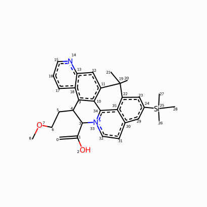 C=C(O)C1C(CCOC)c2c3c(cc4ncccc24)C(C)(C)c2cc([Si](C)(C)C)cc4cc[n+]1c-3c24